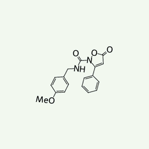 COc1ccc(CNC(=O)n2oc(=O)cc2-c2ccccc2)cc1